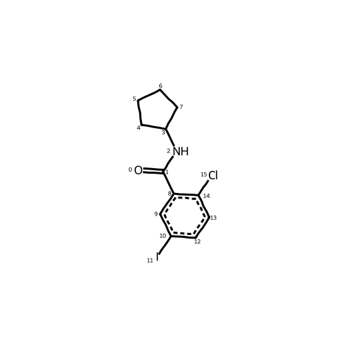 O=C(NC1CCCC1)c1cc(I)ccc1Cl